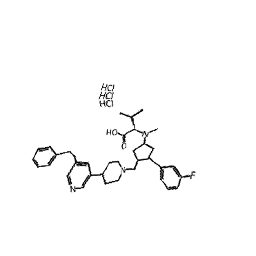 CC(C)[C@H](C(=O)O)N(C)C1CC(CN2CCC(c3cncc(Cc4ccccc4)c3)CC2)C(c2cccc(F)c2)C1.Cl.Cl.Cl